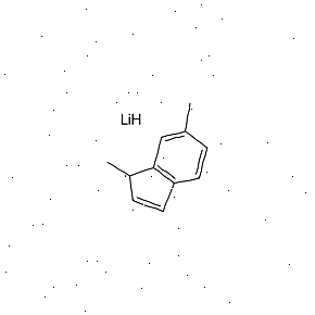 C[C]1C=Cc2ccc(C)cc21.[LiH]